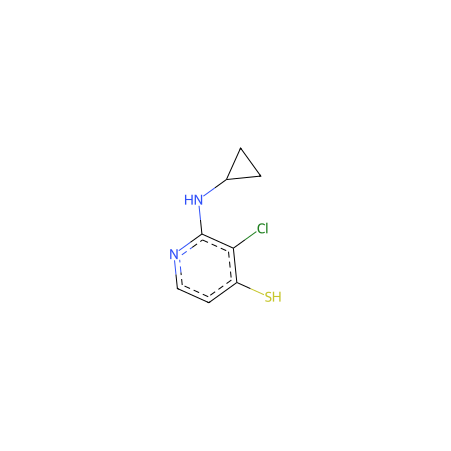 Sc1ccnc(NC2CC2)c1Cl